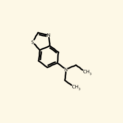 CCN(CC)c1ccc2scnc2c1